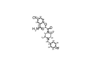 CC1CN(C(=O)COc2ccc(Cl)cc2C(N)=O)C(C)CN1Cc1ccc(F)cc1